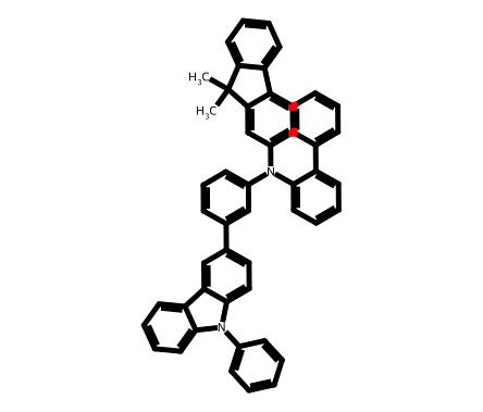 CC1(C)c2ccccc2-c2ccc(N(c3cccc(-c4ccc5c(c4)c4ccccc4n5-c4ccccc4)c3)c3ccccc3-c3ccccc3)cc21